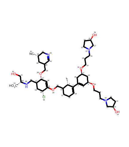 C[C@@H]1C(C2=C[C@H](OCCCN3CC[C@@H](O)C3)C[C@H](OCCCN3CC[C@@H](O)C3)C2)=CCCC1COC1=C[C@@H](OCC2C=NC[C@@H](C#N)C2)C(CN[C@@H](CO)C(=O)O)C[C@H]1Cl